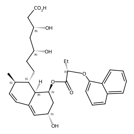 CC[C@H](Oc1cccc2ccccc12)C(=O)O[C@H]1C[C@H](O)C=C2C=C[C@@H](C)[C@H](CC[C@@H](O)C[C@@H](O)CC(=O)O)[C@H]21